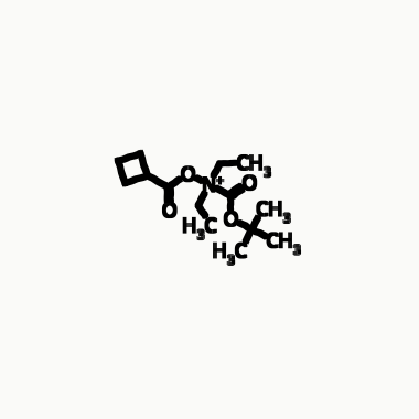 CC[N+](CC)(OC(=O)C1CCC1)C(=O)OC(C)(C)C